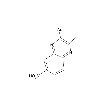 CC(=O)c1nc2cc(S(=O)(=O)O)ccc2nc1C